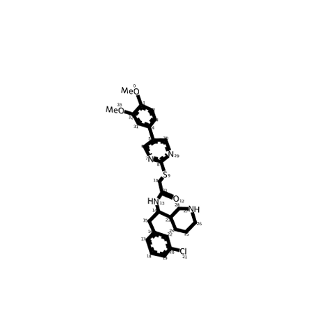 COc1ccc(-c2cnc(SCC(=O)NC(Cc3cccc(Cl)c3)C3CCCNC3)nc2)cc1OC